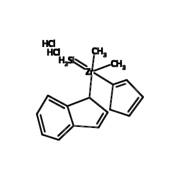 Cl.Cl.[CH3][Zr]([CH3])(=[SiH2])([C]1=CC=CC1)[CH]1C=Cc2ccccc21